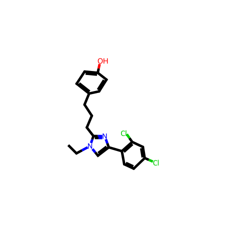 CCn1cc(-c2ccc(Cl)cc2Cl)nc1CCCc1ccc(O)cc1